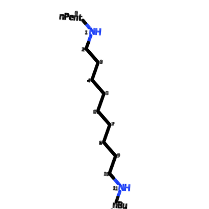 CCCCCNCCCC[CH]CCCCNCCCC